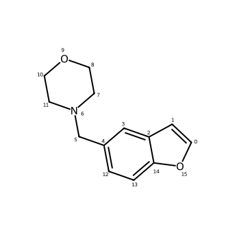 c1cc2cc(CN3CCOCC3)ccc2o1